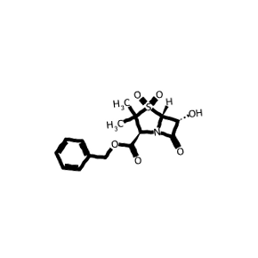 CC1(C)[C@H](C(=O)OCc2ccccc2)N2C(=O)[C@@H](O)[C@H]2S1(=O)=O